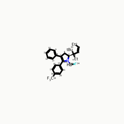 CC/C=C\C(CC)([C@@H]1CC(c2ccccc2)=C(c2ccc(C(F)(F)F)cc2)N1BF)C(C)(C)C